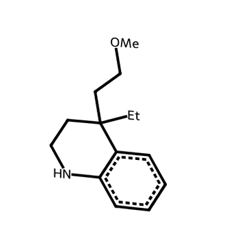 CCC1(CCOC)CCNc2ccccc21